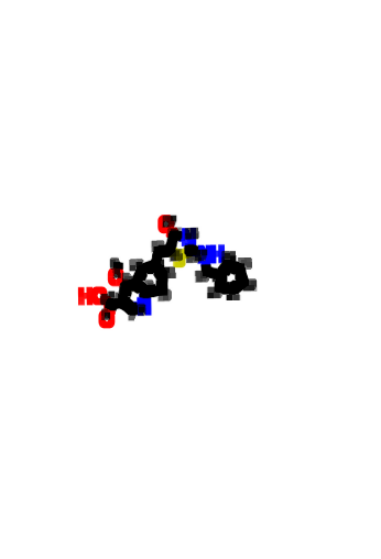 COc1c(C(=O)O)cnc2ccc(/C=C3\SC(NCc4ccccc4)=NC3=O)cc12